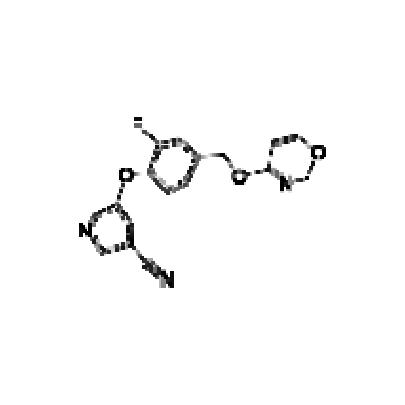 N#Cc1cncc(Oc2ccc(COC3=NCOC=C3)cc2F)c1